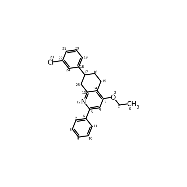 CCOc1cc(-c2ccccc2)nc2c1CCC(c1cccc(Cl)c1)C2